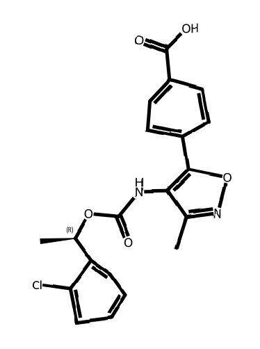 Cc1noc(-c2ccc(C(=O)O)cc2)c1NC(=O)O[C@H](C)c1ccccc1Cl